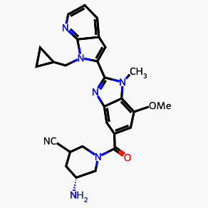 COc1cc(C(=O)N2CC(C#N)C[C@@H](N)C2)cc2nc(-c3cc4cccnc4n3CC3CC3)n(C)c12